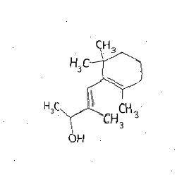 CC1=C(/C=C(\C)C(C)O)C(C)(C)CCC1